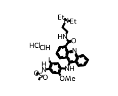 CCN(CC)CCNC(=O)c1cccc2c(Nc3cc(I)c(NS(C)(=O)=O)cc3OC)c3ccccc3nc12.Cl.Cl